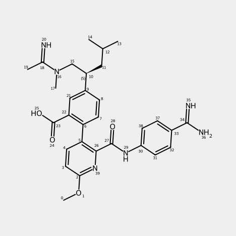 COc1ccc(-c2ccc([C@H](CC(C)C)CN(C)C(C)=N)cc2C(=O)O)c(C(=O)Nc2ccc(C(=N)N)cc2)n1